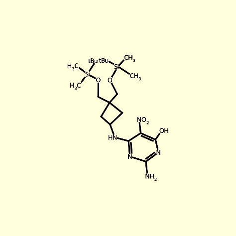 CC(C)(C)[Si](C)(C)OCC1(CO[Si](C)(C)C(C)(C)C)CC(Nc2nc(N)nc(O)c2[N+](=O)[O-])C1